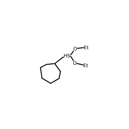 CCO[SiH](CC1CCCCCC1)OCC